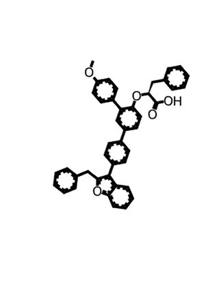 COc1ccc(-c2cc(-c3ccc(-c4c(Cc5ccccc5)oc5ccccc45)cc3)ccc2O[C@@H](Cc2ccccc2)C(=O)O)cc1